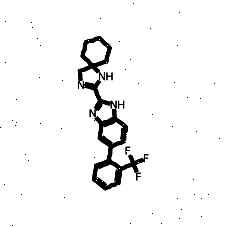 FC(F)(F)c1ccccc1-c1ccc2[nH]c(C3=NCC4(CCCCC4)N3)nc2c1